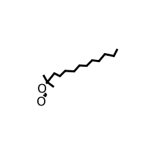 CCCCCCCCCCCC(C)(C)OC=O